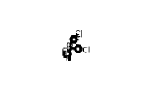 CN1CCOC(C(Oc2ccc(Cl)cc2)c2ccc(Cl)cc2)C1